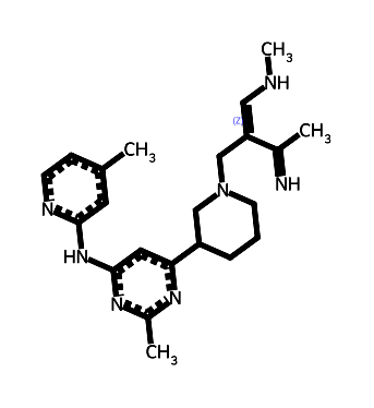 CN/C=C(/CN1CCCC(c2cc(Nc3cc(C)ccn3)nc(C)n2)C1)C(C)=N